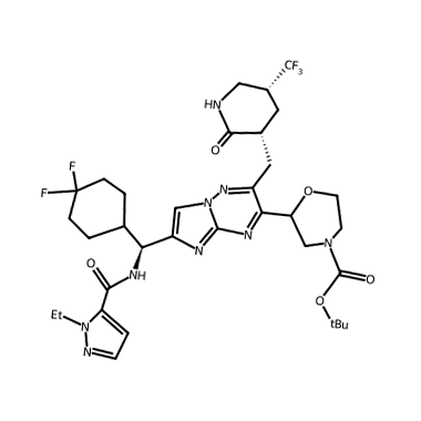 CCn1nccc1C(=O)N[C@H](c1cn2nc(C[C@H]3C[C@@H](C(F)(F)F)CNC3=O)c(C3CN(C(=O)OC(C)(C)C)CCO3)nc2n1)C1CCC(F)(F)CC1